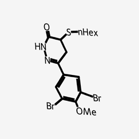 CCCCCCSC1CC(c2cc(Br)c(OC)c(Br)c2)=NNC1=O